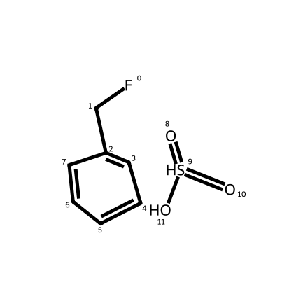 FCc1ccccc1.O=[SH](=O)O